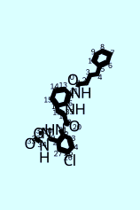 O=C(CCCc1ccccc1)Nc1cccc2cc(C(=O)Nc3ccc(Cl)cc3-c3noc(=O)[nH]3)[nH]c12